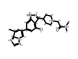 CCc1cc(-c2cc(C)c3ncnn3c2)cc2[nH]nc(C3CCN(CC(=O)N(C)C)CC3)c12